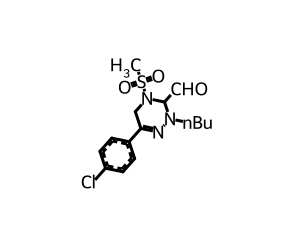 CCCCN1N=C(c2ccc(Cl)cc2)CN(S(C)(=O)=O)C1C=O